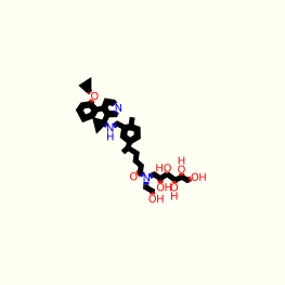 Cc1ccc(C(C)CCCC(=O)N(CCO)CC(O)C(O)C(O)C(O)CO)cc1CNC1(c2cnccc2-c2ccccc2OC2CC2)CC1